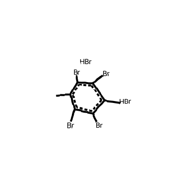 Br.Br.Cc1c(Br)c(Br)c(C)c(Br)c1Br